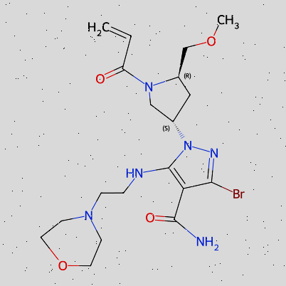 C=CC(=O)N1C[C@@H](n2nc(Br)c(C(N)=O)c2NCCN2CCOCC2)C[C@@H]1COC